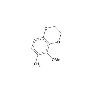 COc1c(C)ccc2c1OCCO2